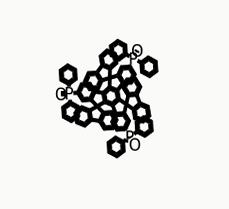 O=P(c1ccccc1)(c1ccccc1)c1ccc2c(c1)C1(c3ccccc3-c3ccccc31)c1c-2c2c(c3c1-c1ccc(P(=O)(c4ccccc4)c4ccccc4)cc1C31c3ccccc3-c3ccccc31)-c1ccc(P(=O)(c3ccccc3)c3ccccc3)cc1C21c2ccccc2-c2ccccc21